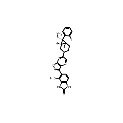 Cc1c(-c2n[nH]c3nc(N4CC[C@@H]5[C@H](C4)[C@@]5(CN)c4ccccc4F)cnc23)ccc2[nH]c(=O)[nH]c12